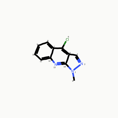 Cn1ncc2c(Cl)c3ccccc3nc21